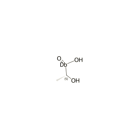 C[C@@H](O)[Db](=[O])[OH]